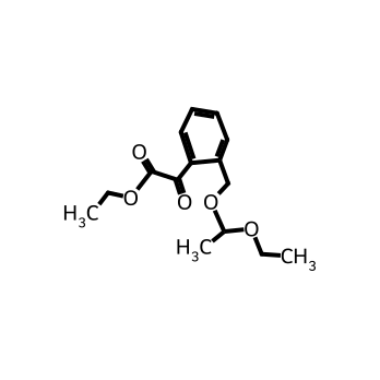 CCOC(=O)C(=O)c1ccccc1COC(C)OCC